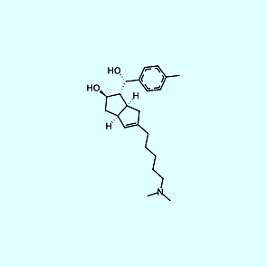 Cc1ccc([C@@H](O)[C@@H]2[C@H]3CC(CCCCCN(C)C)=C[C@H]3C[C@H]2O)cc1